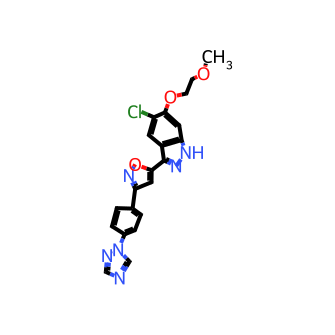 COCCOc1cc2[nH]nc(-c3cc(-c4ccc(-n5cncn5)cc4)no3)c2cc1Cl